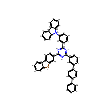 c1ccc(-c2ccc(-c3cccc(-c4nc(-c5cccc(-n6c7ccccc7c7ccccc76)c5)nc(-c5ccc6c(c5)sc5ccccc56)n4)c3)cc2)cc1